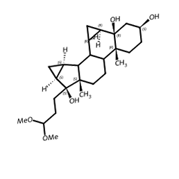 COC(CC[C@]1(O)[C@H]2C[C@H]2C2C3C(CC[C@@]21C)[C@@]1(C)CC[C@H](O)C[C@@]1(O)[C@@H]1C[C@H]31)OC